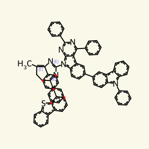 C\C1=C(c2ccc(-c3cccc4c3sc3ccccc34)cc2)/N=C(n2c3ccc(-c4ccc5c(c4)c4ccccc4n5-c4ccccc4)cc3c3c(-c4ccccc4)nc(-c4ccccc4)nc32)\N=C(\c2ccccc2)CC1